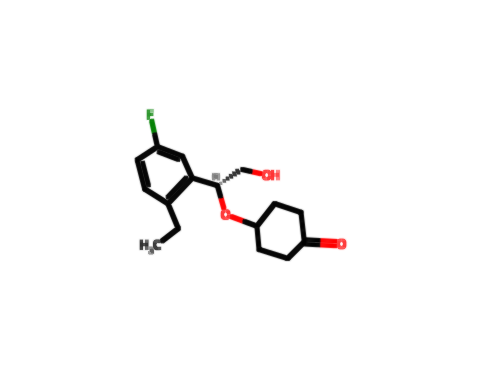 CCc1ccc(F)cc1[C@H](CO)OC1CCC(=O)CC1